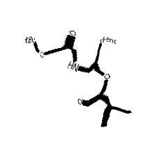 C=C(C)C(=O)OC(CCCCC)NC(=O)OC(C)(C)C